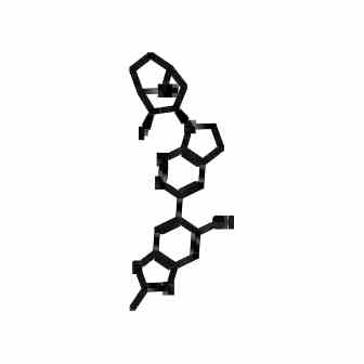 Cc1nc2cc(O)c(-c3cc4c(nn3)N([C@@H]3CC5CCC(N5)[C@@H]3F)CC4)cc2s1